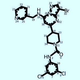 O=C(Nc1cc(Cl)cc(Cl)c1)N1CCC(c2cc(NCc3cccnc3)n3ncc(Br)c3n2)CC1